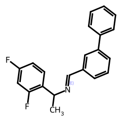 CC(/N=C/c1cccc(-c2ccccc2)c1)c1ccc(F)cc1F